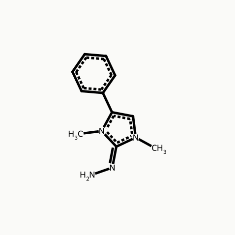 Cn1cc(-c2ccccc2)n(C)c1=NN